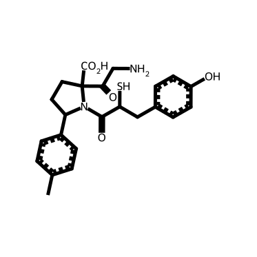 Cc1ccc(C2CCC(C(=O)O)(C(=O)CN)N2C(=O)C(S)Cc2ccc(O)cc2)cc1